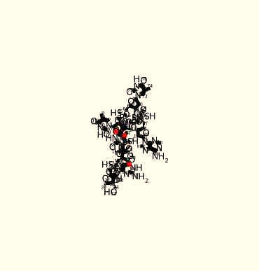 Cc1cn([C@@H]2O[C@@]3(COP(=O)(S)O[C@@H]4C5O[C@@H](C)[C@]4(COP(=O)(S)O[C@@H]4C6O[C@@H](C)[C@]4(CO)O[C@H]6n4cnc6c(=O)[nH]c(N)nc64)O[C@H]5n4cc(C)c(=O)[nH]c4=O)[C@H](C)OC2[C@H]3OP(=O)(S)OC[C@H]2O[C@@H](n3cc(C)c(=O)[nH]c3=O)C[C@H]2OP(=O)(S)OC[C@H]2O[C@@H](n3cnc4c(N)ncnc43)CC2OP(=O)(O)S)c(=O)[nH]c1=O